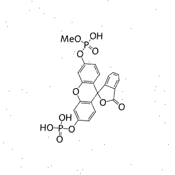 COP(=O)(O)Oc1ccc2c(c1)Oc1cc(OP(=O)(O)O)ccc1C21OC(=O)c2ccccc21